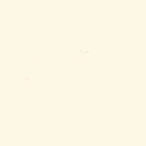 Cc1ccc(S(=O)(=O)CCC(=O)O)cc1.[NaH]